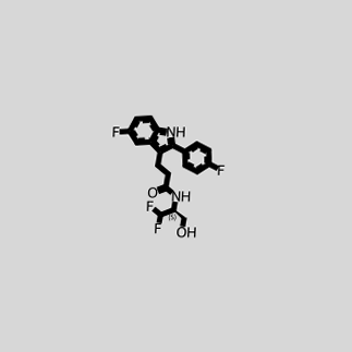 O=C(CCc1c(-c2ccc(F)cc2)[nH]c2ccc(F)cc12)N[C@@H](CO)C(F)F